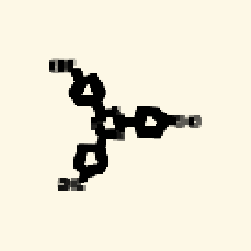 O=Cc1ccc(-c2nc(-c3ccc(C=O)cc3)nc(-c3ccc(C=O)cc3)n2)cc1